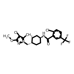 COc1nn(C[C@H]2CC[C@H](NC(=O)c3cc(C(F)(F)F)ccc3Cl)CC2)c(C)c1Cl